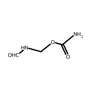 NC(=O)OCNC=O